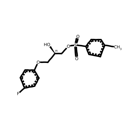 Cc1ccc(S(=O)(=O)OC[C@H](O)COc2ccc(F)cc2)cc1